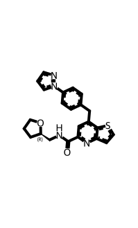 O=C(NC[C@H]1CCCO1)c1cc(Cc2ccc(-n3cccn3)cc2)c2sccc2n1